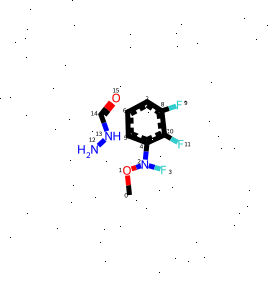 CON(F)c1cccc(F)c1F.NNC=O